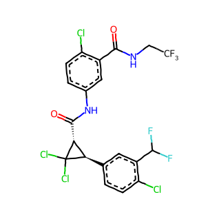 O=C(NCC(F)(F)F)c1cc(NC(=O)[C@@H]2[C@@H](c3ccc(Cl)c(C(F)F)c3)C2(Cl)Cl)ccc1Cl